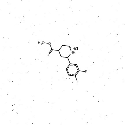 COC(=O)C1CCNC(c2ccc(F)c(F)c2)C1.Cl